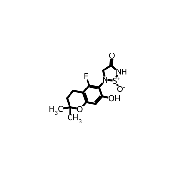 CC1(C)CCc2c(cc(O)c(N3CC(=O)N[S+]3[O-])c2F)O1